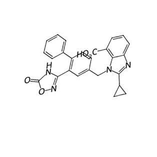 O=C(O)c1cccc2nc(C3CC3)n(Cc3ccc(-c4ccccc4)c(-c4noc(=O)[nH]4)c3)c12